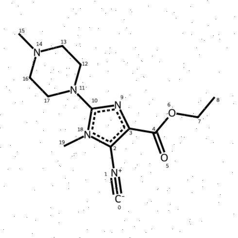 [C-]#[N+]c1c(C(=O)OCC)nc(N2CCN(C)CC2)n1C